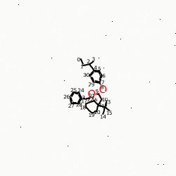 CCC(C)c1ccc(OC(CC2(C(C)(C)C)CCCCC2)OCc2ccccc2)cc1